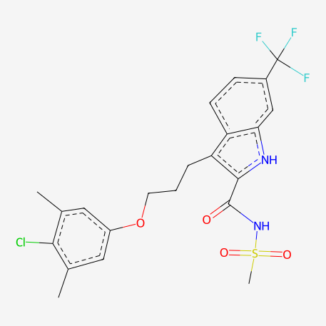 Cc1cc(OCCCc2c(C(=O)NS(C)(=O)=O)[nH]c3cc(C(F)(F)F)ccc23)cc(C)c1Cl